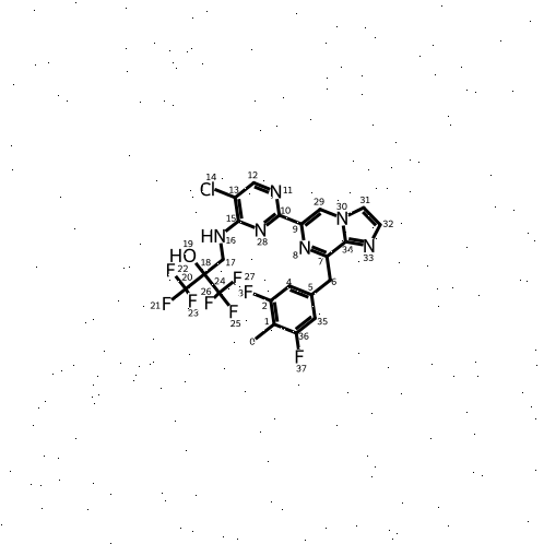 Cc1c(F)cc(Cc2nc(-c3ncc(Cl)c(NCC(O)(C(F)(F)F)C(F)(F)F)n3)cn3ccnc23)cc1F